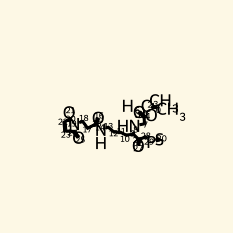 CC(C)(C)OC(=O)CNC(CCCCNC(=O)CCN1C(=O)C=CC1=O)C(=O)CP=S